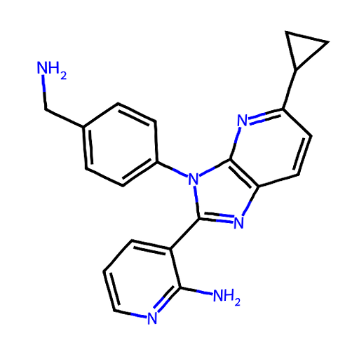 NCc1ccc(-n2c(-c3cccnc3N)nc3ccc(C4CC4)nc32)cc1